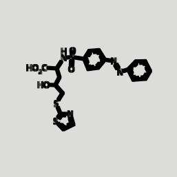 O=C(O)C(CC(O)CSc1nccs1)NS(=O)(=O)c1ccc(/N=N/c2ccccc2)cc1